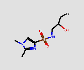 Cc1nc(S(=O)(=O)NCC(O)CC(C)C)cn1C